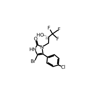 O=c1[nH]c(Br)c(-c2ccc(Cl)cc2)n1C[C@H](O)C(F)(F)F